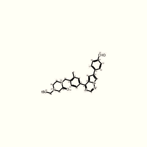 Cc1cc(-c2ncnn3cc(-c4ccc(C=O)cc4)cc23)ccc1CN1CCN(CC(C)(C)C)CC1=O